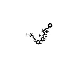 Cc1ccc(OCCCC(C)(C)O)cc1-c1ccnc(NC(=O)c2nnc(CCc3ccccc3)[nH]2)c1